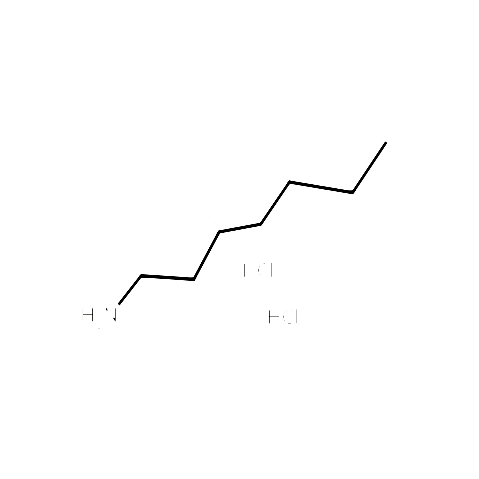 CCCCCCCN.Cl.Cl